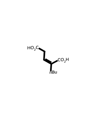 CCCC/C(=C/CC(=O)O)C(=O)O